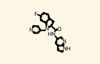 O=C(Nc1cnc2[nH]ccc2c1)c1cc2ccc(F)cc2n1Cc1ccncc1